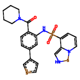 O=C(c1ccc(-c2ccsc2)cc1NS(=O)(=O)C1=CC=CN2SNC=C12)N1CCCCC1